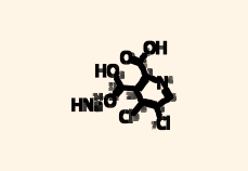 O=C(O)c1ncc(Cl)c(Cl)c1C(=O)O.[NaH]